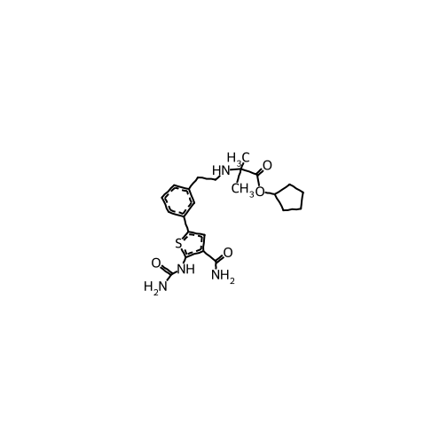 CC(C)(NCCc1cccc(-c2cc(C(N)=O)c(NC(N)=O)s2)c1)C(=O)OC1CCCC1